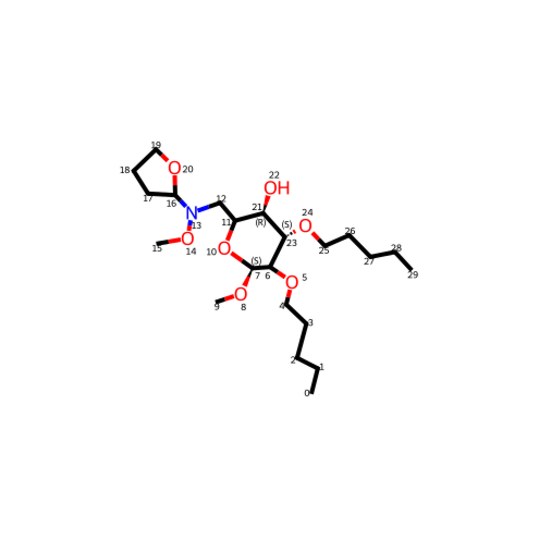 CCCCCOC1[C@@H](OC)OC(CN(OC)C2CCCO2)[C@@H](O)[C@@H]1OCCCCC